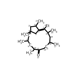 CC/C1=C2\CC(C)(CC(C)CC(C)C(=O)CCC(C)CC1C)CC2C